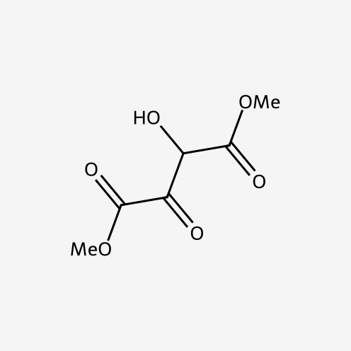 COC(=O)C(=O)C(O)C(=O)OC